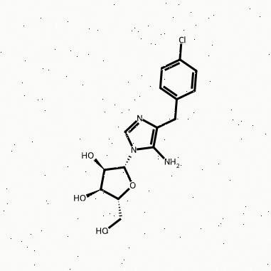 Nc1c([CH]c2ccc(Cl)cc2)ncn1[C@@H]1O[C@H](CO)[C@@H](O)[C@H]1O